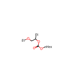 CCCCCCOC(=O)OC(CC)COCC